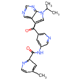 Cc1ccnc(C(=O)Nc2cncc(C(=O)c3cn(C(C)C)c4ncncc34)c2)c1